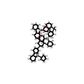 CC1(C)c2ccccc2-c2cc(N(c3ccccc3)c3ccccc3-c3cc(-c4ccc5c6ccccc6n(-c6ccccc6)c5c4)cc(-c4ccc5c6ccccc6n(-c6ccccc6)c5c4)c3)ccc21